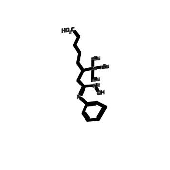 CCC[CH2][Sn]([CH2]CCC)([CH2]CCC)[CH](CCCCC(=O)O)CC(=Nc1ccccc1)NO